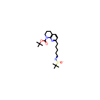 CC(C)(C)OC(=O)N1CCCc2ccc(CCCC/C=N/[S@@+]([O-])C(C)(C)C)nc21